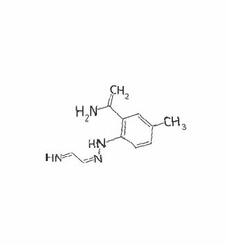 C=C(N)c1cc(C)ccc1N/N=C\C=N